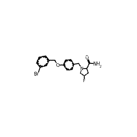 NC(=O)C1CC(F)CN1Cc1ccc(OCc2cccc(Br)c2)cc1